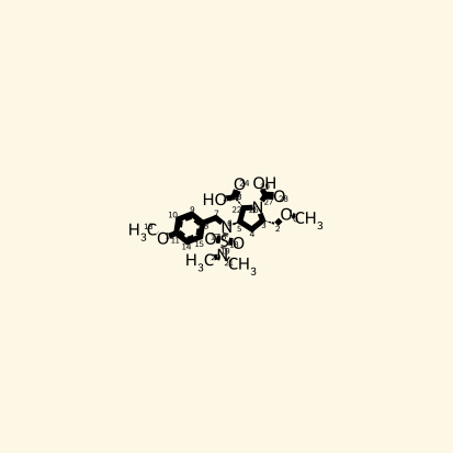 COC[C@@H]1C[C@H](N(Cc2ccc(OC)cc2)S(=O)(=O)N(C)C)[C@H](C(=O)O)N1C(=O)O